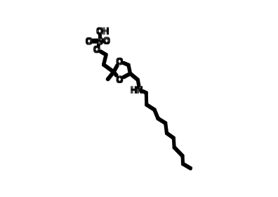 CCCCCCCCCCCNCC1COC(C)(CCOS(=O)(=O)O)O1